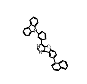 c1cc(-c2ncnc3c2oc2ccc(-c4cccc5ccccc45)cc23)cc(-n2c3ccccc3c3ccccc32)c1